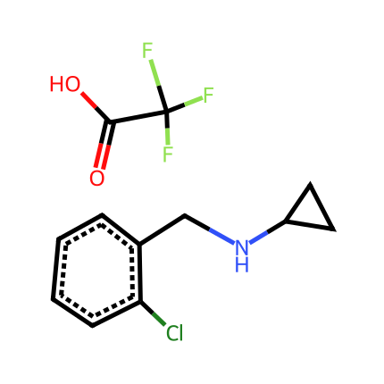 Clc1ccccc1CNC1CC1.O=C(O)C(F)(F)F